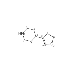 [CH]1CC(C2CCNCC2)=NO1